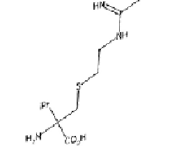 CC(=N)NCCSCC(N)(C(=O)O)C(C)C